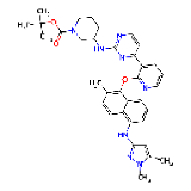 Cc1ccc2c(Nc3cc(C)n(C)n3)cccc2c1Oc1ncccc1-c1ccnc(NC2CCCN(C(=O)OC(C)(C)C)C2)n1